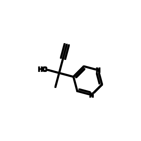 C#CC(C)(O)c1cncnc1